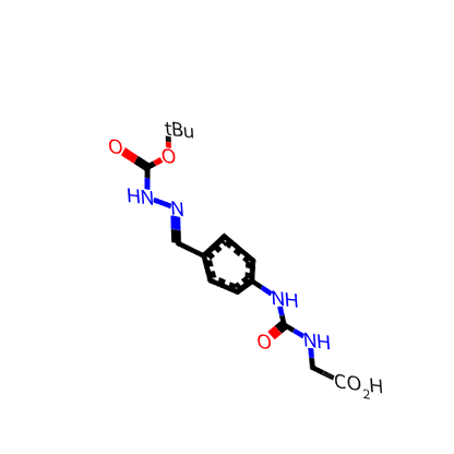 CC(C)(C)OC(=O)NN=Cc1ccc(NC(=O)NCC(=O)O)cc1